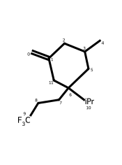 C=C1CC(C)CC(CCC(F)(F)F)(C(C)C)C1